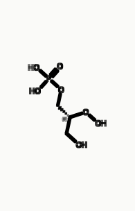 O=P(O)(O)OC[C@@H](CO)OO